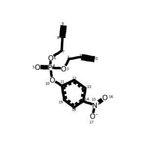 C#CCOP(=O)(OCC#C)Oc1ccc([N+](=O)[O-])cc1